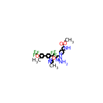 CCOC(=O)[C@@H]1CC2(CCN(c3cc(O[C@H](c4ccc(-c5ccc(OC(F)(F)F)c(C)c5)cc4-n4ccc(C)n4)C(F)(F)F)nc(N)n3)CC2)CN1